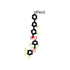 CCCCCc1ccc(-c2ccc(-c3ccc(C(=O)Oc4cc(F)c(C(F)(F)Oc5cc(F)c(F)c(F)c5)c(F)c4)c(F)c3)c(F)c2)cc1